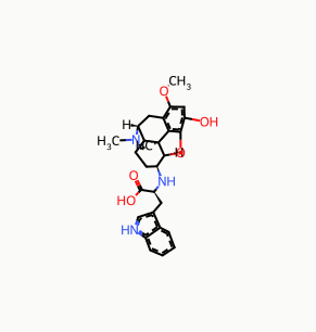 COc1cc(O)c2c3c1C[C@@H]1[C@@H]4CC[C@H](N[C@@H](Cc5c[nH]c6ccccc56)C(=O)O)[C@H](O2)[C@]34CCN1C